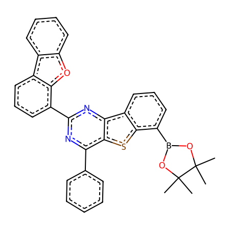 CC1(C)OB(c2cccc3c2sc2c(-c4ccccc4)nc(-c4cccc5c4oc4ccccc45)nc23)OC1(C)C